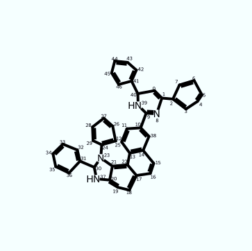 C1=C(c2ccccc2)N=C(c2ccc3c(ccc4ccc5c(c43)N(c3ccccc3)C(c3ccccc3)N5)c2)NC1c1ccccc1